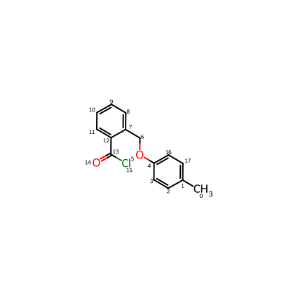 Cc1ccc(OCc2ccccc2C(=O)Cl)cc1